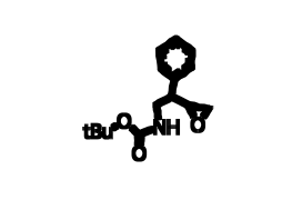 CC(C)(C)OC(=O)NCC(c1ccccc1)C1CO1